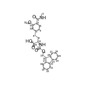 CNC(=O)c1ccc(CCC(NC(=O)OCC2c3ccccc3-c3ccccc32)C(=O)O)cc1OC